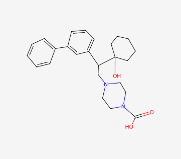 O=C(O)N1CCN(CC(c2cccc(-c3ccccc3)c2)C2(O)CCCCC2)CC1